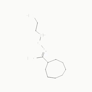 CCCBO/N=C(\C)C1CCCCCCC1